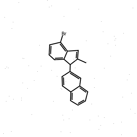 CC1=Cc2c(Br)cccc2C1c1ccc2ccccc2c1